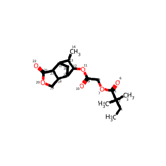 CCC(C)(C)C(=O)OCC(=O)OC1C(C)C2CC1C1COC(=O)C21